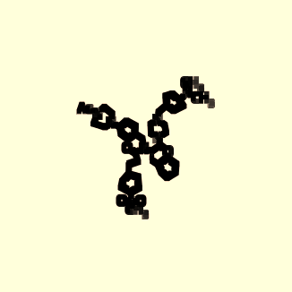 CC(=O)N1CCN(c2ccc(CN(C(=O)/C=C/c3ccc(S(C)(=O)=O)cc3)[C@@H](Cc3ccccc3)C(=O)N3CCN(Cc4ccc(N(C)C)cc4)CC3)cc2)CC1